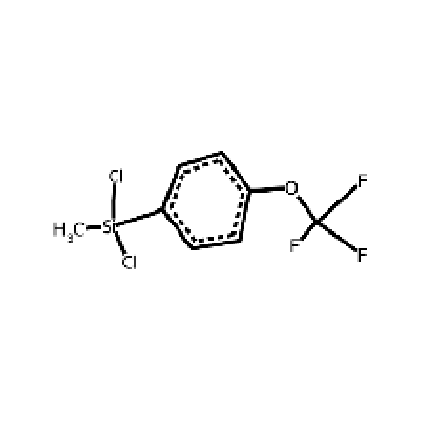 C[Si](Cl)(Cl)c1ccc(OC(F)(F)F)cc1